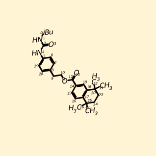 CCC(C)NC(=O)Nc1ccc(CCOC(=O)c2ccc3c(c2)C(C)(C)CCC3(C)C)cc1